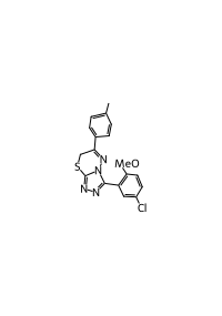 COc1ccc(Cl)cc1-c1nnc2n1N=C(c1ccc(C)cc1)CS2